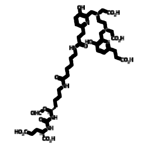 O=CO[C@H](CCCCNC(=O)CCCCCNC(=O)CCc1ccc(O)c(CN(CCN(CC(=O)O)Cc2nc(CCC(=O)O)ccc2O)CC(=O)O)n1)NC(=O)N[C@@H](CCC(=O)O)C(=O)O